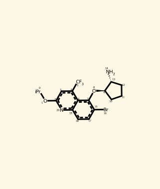 CC(C)Oc1cc(C(F)(F)F)c2c(O[C@@H]3CCC[C@H]3N)c(Br)ccc2n1